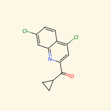 O=C(c1cc(Cl)c2ccc(Cl)cc2n1)C1CC1